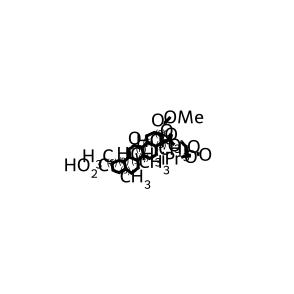 COC(=O)O[C@H]1CC[C@@]2(C)C(CC[C@]3(C)[C@@H]2C(=O)C=C2[C@@H]4C[C@@](C)(C(=O)O)CC[C@]4(C)CC[C@]23C)[C@]1(C)C(=O)OCc1oc(=O)oc1C(C)C